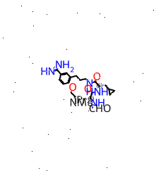 CNCCOc1ccc(C(=N)N)cc1CCCNC(=O)[C@H](CC1CC1)NC(=O)[C@H](NC=O)C(C)C